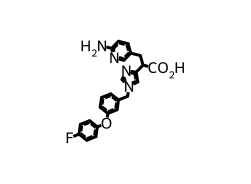 Nc1ccc(CC(C(=O)O)c2cn(Cc3cccc(Oc4ccc(F)cc4)c3)cn2)cn1